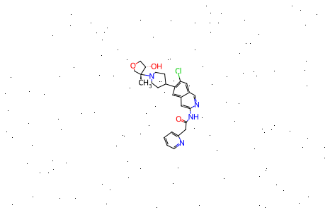 C[C@@]1(N2CCC(c3cc4cc(NC(=O)Cc5ccccn5)ncc4cc3Cl)CC2)COC[C@@H]1O